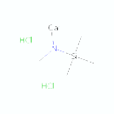 C[N]([Ga])[Si](C)(C)C.Cl.Cl